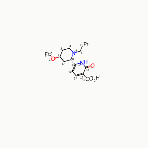 CCO[C@H]1CCN(CC(C)C)[C@H](c2ccc(C(=O)O)c(=O)[nH]2)C1